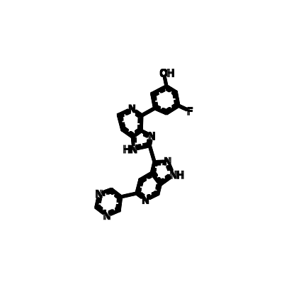 Oc1cc(F)cc(-c2nccc3[nH]c(-c4n[nH]c5cnc(-c6cncnc6)cc45)nc23)c1